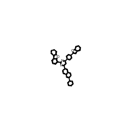 c1ccc(-c2ccc3cc(-c4cc(-c5ccc(-c6cc7ccccc7o6)cc5)nc(-c5cccc6c5oc5ccccc56)n4)ccc3c2)cc1